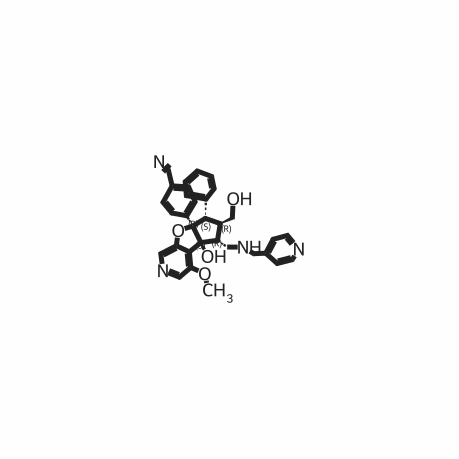 COc1cncc2c1[C@@]1(O)[C@@H](CNCc3ccncc3)[C@H](CO)[C@@H](c3ccccc3)[C@]1(c1ccc(C#N)cc1)O2